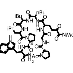 CCCCC(NC(=O)C(CCC(=O)C(=O)NC)NC(=O)CNC(=O)[C@@H]1CCCN1C(C)=O)C(=O)NC(C(=O)NC(CC(C)C)C(=O)N1CCC[C@H]1C(=O)NC(Cc1c[nH]c2ccccc12)C(N)=O)C(C)CC